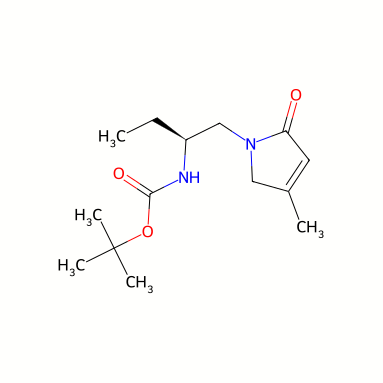 CC[C@@H](CN1CC(C)=CC1=O)NC(=O)OC(C)(C)C